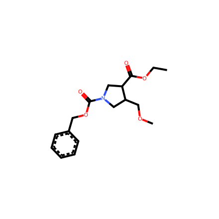 CCOC(=O)C1CN(C(=O)OCc2ccccc2)CC1COC